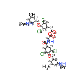 Cc1cc(COc2c(Cl)cc(CC(=O)OC(=O)CNC(=O)c3cc(Cl)c(OCc4cc(C)cc(NC(C)C)c4)c(Cl)c3)cc2Cl)cc(NC(C)C)c1